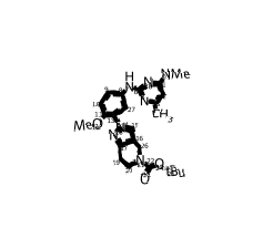 CNc1cc(C)nc(Nc2ccc(OC)c(-n3cc4c(n3)CCN(C(=O)OC(C)(C)C)C4)c2)n1